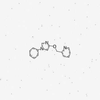 c1ccc(-n2cnc(OCc3ccccn3)c2)cc1